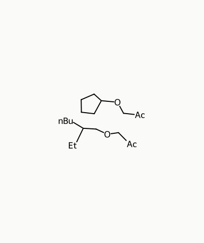 CC(=O)COC1CCCC1.CCCCC(CC)COCC(C)=O